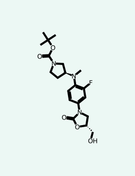 CN(c1ccc(N2C[C@H](CO)OC2=O)cc1F)[C@H]1CCN(C(=O)OC(C)(C)C)C1